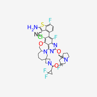 N#Cc1c(N)sc2c(F)ccc(-c3c(Cl)c4c5c(nc(OC[C@@]67CCCN6C[C@H](F)C7)nc5c3F)N3CC5(CCCC3CO4)CN(C(=O)C3CC3(F)F)C5)c12